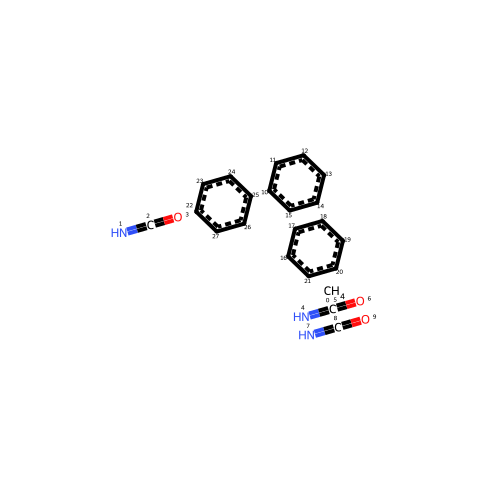 C.N=C=O.N=C=O.N=C=O.c1ccccc1.c1ccccc1.c1ccccc1